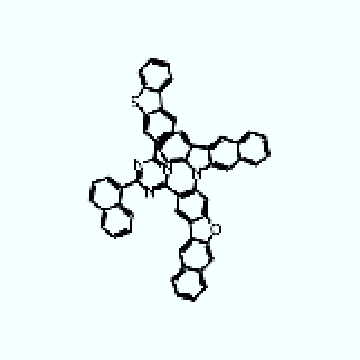 c1ccc2cc3c(cc2c1)oc1cc(-n2c4ccccc4c4cc5ccccc5cc42)c(-c2nc(-c4ccc5c(c4)sc4ccccc45)nc(-c4cccc5ccccc45)n2)cc13